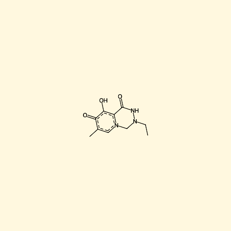 CCN1Cn2cc(C)c(=O)c(O)c2C(=O)N1